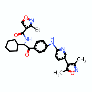 CCc1nocc1C(=O)N[C@H](C(=O)c1ccc(Nc2ccc(-c3c(C)noc3C)cn2)cc1)C1CCCCC1